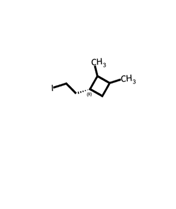 CC1C[C@H](CCI)C1C